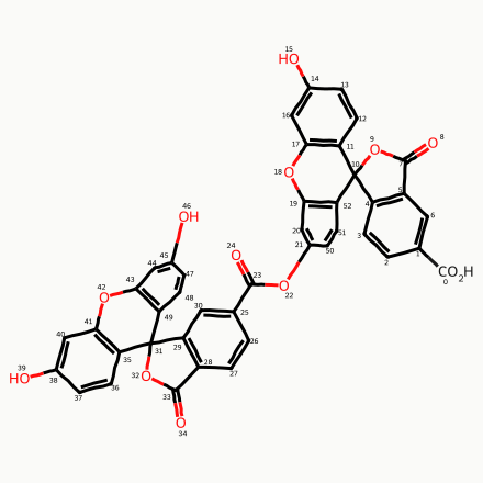 O=C(O)c1ccc2c(c1)C(=O)OC21c2ccc(O)cc2Oc2cc(OC(=O)c3ccc4c(c3)C3(OC4=O)c4ccc(O)cc4Oc4cc(O)ccc43)ccc21